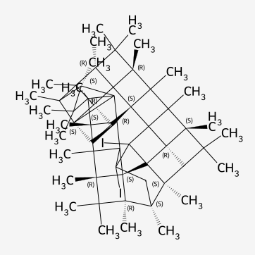 CC1(C)C2(C)C34[C@]1(C)C1(C)C5(C)[C@@]6(C)C(C)(C)[C@]7(C)C8(C)C9(C)C%10%11C%12(I)C%13(I)C[C@]%14(C)[C@@]%15(C)C(C)(C)[C@]%16(C)C%17(C)C%13([C@]3(C3C%13[C@@]8%10C76[C@]%135[C@]314)[C@@]2%17C)[C@@]%16%15C%121[C@@]%112C(C(C)(C)[C@@]92C)[C@]1%14C